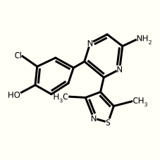 Cc1nsc(C)c1-c1nc(N)cnc1-c1ccc(O)c(Cl)c1